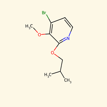 COc1c(Br)ccnc1OCC(C)C